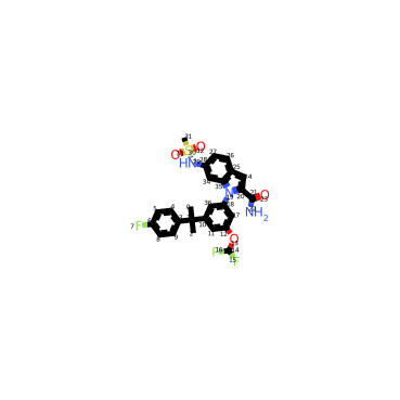 CC(C)(c1ccc(F)cc1)c1cc(OC(F)F)cc(-n2c(C(N)=O)cc3ccc(NS(C)(=O)=O)cc32)c1